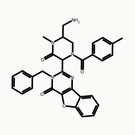 Cc1ccc(C(=O)N2CC(CN)N(C)C(=O)C2c2nc3c(oc4ccccc43)c(=O)n2Cc2ccccc2)cc1